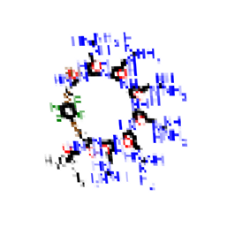 CC(C)C(=O)CNC(=O)C1CSc2c(F)c(F)c(c(F)c2F)SCC(NS)C(=O)NC(CCCNC(=N)N)C(=O)NC(CCCNC(=N)N)C(=O)NC(CCCNC(=N)N)C(=O)NC(CCCNC(=N)N)C(=O)NC(CCCNC(=N)N)C(=O)NC(CCCNC(=N)N)C(=O)N1